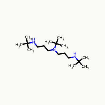 CC(C)(C)NCCCN(CCCNC(C)(C)C)C(C)(C)C